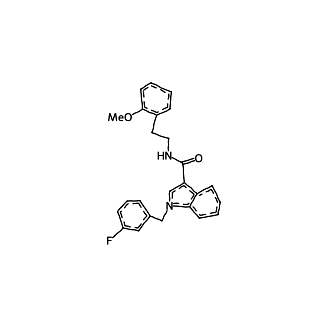 COc1ccccc1CCNC(=O)c1cn(Cc2cccc(F)c2)c2ccccc12